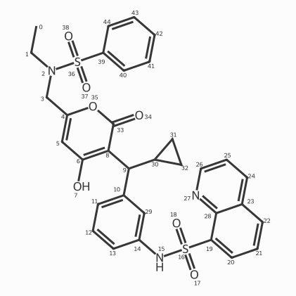 CCN(Cc1cc(O)c(C(c2cccc(NS(=O)(=O)c3cccc4cccnc34)c2)C2CC2)c(=O)o1)S(=O)(=O)c1ccccc1